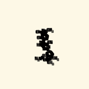 Cn1nc(Cl)c2c(Cl)c(-c3n[nH]c4nc(N5CCC(C)(CC(C)(C)OC(N)=O)CC5)nc(C#N)c34)ccc21